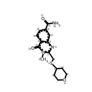 Cn1c(CSC2CCOCC2)nc2cc(C(N)=O)ccc2c1=O